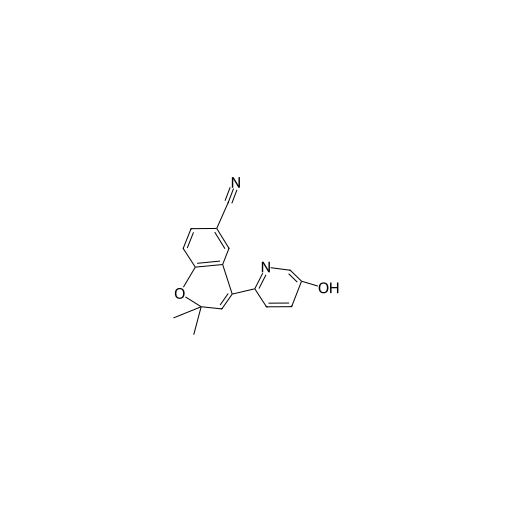 CC1(C)C=C(c2ccc(O)cn2)c2cc(C#N)ccc2O1